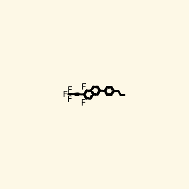 CCCc1ccc(-c2ccc3c(F)c(C#CC(F)(F)F)c(F)cc3c2)cc1